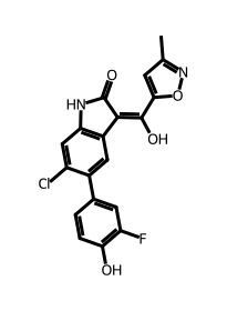 Cc1cc(/C(O)=C2\C(=O)Nc3cc(Cl)c(-c4ccc(O)c(F)c4)cc32)on1